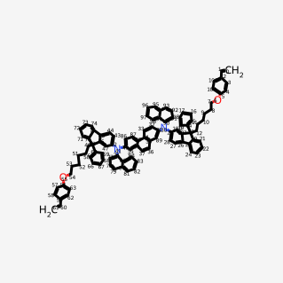 C=Cc1ccc(OCCCCCCC2(c3ccccc3)c3ccccc3-c3ccc(N(c4ccc5c(ccc6cc(N(c7ccc8c(c7)C(CCCCCCOc7ccc(C=C)cc7)(c7ccccc7)c7ccccc7-8)c7cccc8ccccc78)ccc65)c4)c4cccc5ccccc45)cc32)cc1